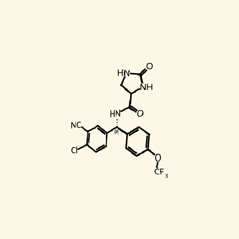 N#Cc1cc([C@H](NC(=O)C2CNC(=O)N2)c2ccc(OC(F)(F)F)cc2)ccc1Cl